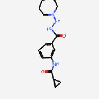 O=C(NNN1CCCCCC1)c1cccc(NC(=O)C2CC2)c1